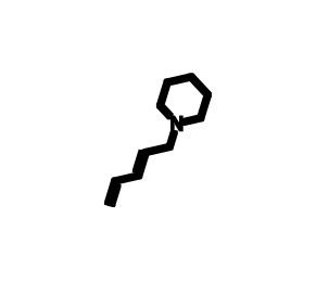 [CH]=CC=CCN1CCCCC1